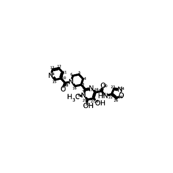 CN1C(C2CCCN(C(=O)c3cccnc3)C2)=NC(C(=O)Nc2cnoc2)=C(O)C1O